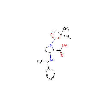 C[C@H](N[C@H]1CCN(C(=O)OC(C)(C)C)[C@H]1C(=O)O)c1ccccc1